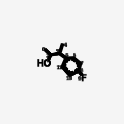 CC(O)C(C)c1ccc(F)cc1